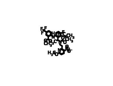 COC(=O)c1cc(C(F)(F)F)ccc1Nc1ccc(F)cc1C(C)N(CCc1nc(OC)ccc1[N+](=O)[O-])C(=O)OC(C)(C)C